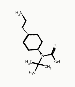 CC(C)(C)N(C(=O)O)[C@H]1CC[C@H](CCN)CC1